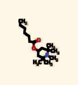 CCCCCCC(=O)OC1CC(C)(C)N(C)C(C)(C)C1